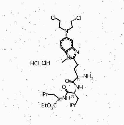 CCOC(=O)[C@H](CC(C)C)NC(=O)[C@H](CC(C)C)NC(=O)[C@@H](N)CCc1nc2cc(N(CCCl)CCCl)ccc2n1C.Cl.Cl